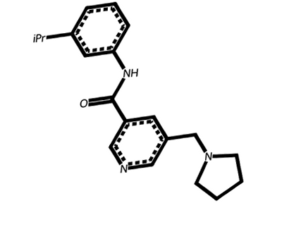 CC(C)c1cccc(NC(=O)c2cncc(CN3CCCC3)c2)c1